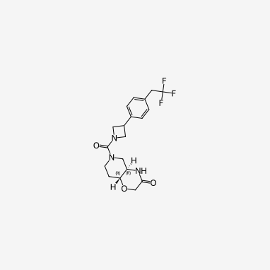 O=C1CO[C@@H]2CCN(C(=O)N3CC(c4ccc(CC(F)(F)F)cc4)C3)C[C@H]2N1